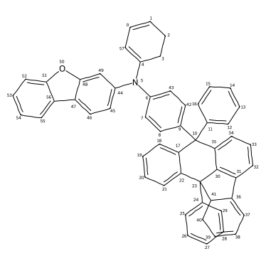 C1=CCCC(N(c2ccc(C3(c4ccccc4)c4ccccc4C4(c5ccccc5)c5c(cccc53)C3=CC=CCC34)cc2)c2ccc3c(c2)oc2ccccc23)=C1